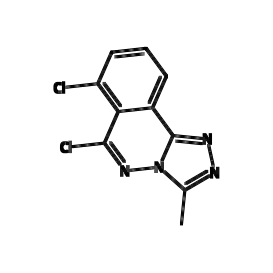 Cc1nnc2c3cccc(Cl)c3c(Cl)nn12